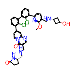 COc1nc(-c2cccc(-c3cccc(-c4ccn5c(=O)c(CNC[C@@H]6CCC(=O)N6)cnc5c4)c3Cl)c2Cl)ccc1CN[C@H]1C[C@H](O)C1